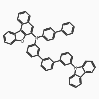 c1ccc(-c2ccc(N(c3cccc(-c4cccc(-c5cccc(-n6c7ccccc7c7ccccc76)c5)c4)c3)c3cc4ccccc4c4c3oc3ccccc34)cc2)cc1